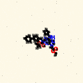 CCOC(=O)Cn1cnc2c(NC3CCCC3)nc(N(Cc3ccc(C4CCCCC4)cc3)C(=O)OC(C)(C)C)nc21